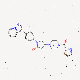 O=C(c1nccs1)N1CCN(C2CC(=O)N(c3ccc(-c4cnn5ccccc45)cc3)C2)CC1